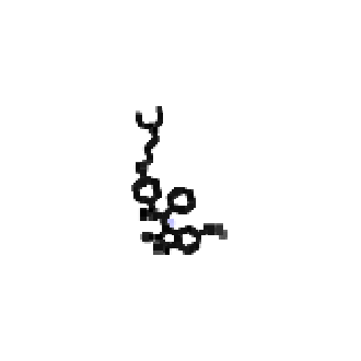 CCN(CC)CCCOc1ccc(N/C(=C2\C(=O)Nc3ccc(N)cc32)c2ccccc2)cc1